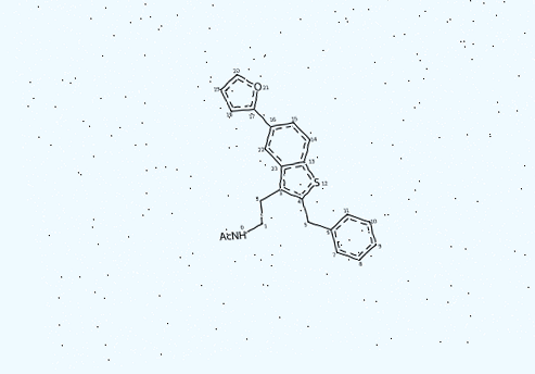 CC(=O)NCCc1c(Cc2ccccc2)sc2ccc(-c3ccco3)cc12